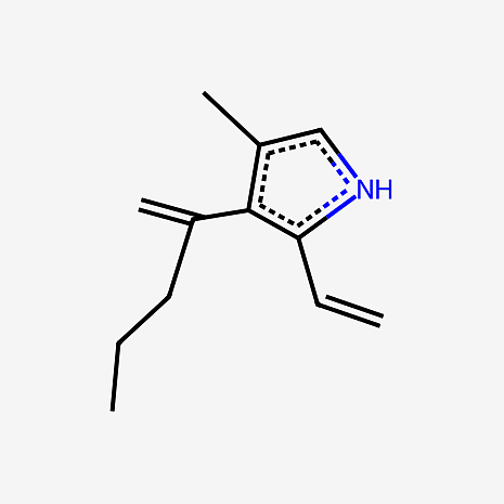 C=Cc1[nH]cc(C)c1C(=C)CCC